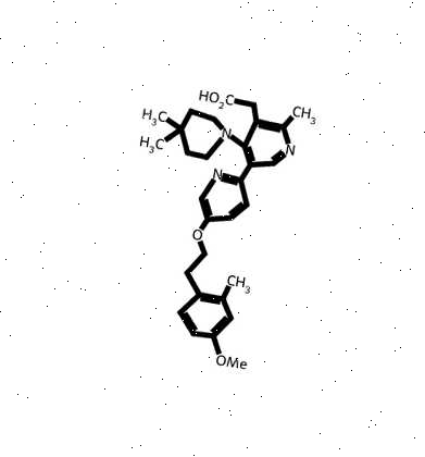 COc1ccc(CCOc2ccc(-c3cnc(C)c(CC(=O)O)c3N3CCC(C)(C)CC3)nc2)c(C)c1